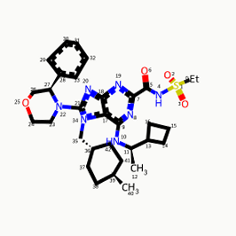 CCS(=O)(=O)NC(=O)c1nc(N[C@H](C)C2CCC2)c2c(n1)nc(N1CCOC[C@H]1c1ccccc1)n2C[C@H]1CC[C@H](C)CC1